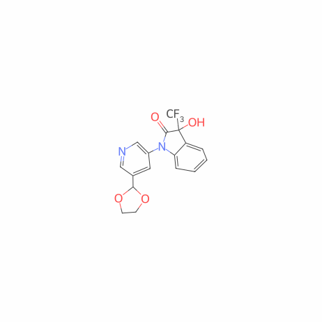 O=C1N(c2cncc(C3OCCO3)c2)c2ccccc2C1(O)C(F)(F)F